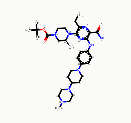 CCc1nc(C(N)=O)c(Nc2ccc(N3CCC(N4CCN(C)CC4)CC3)cc2)nc1N1CCN(C(=O)OC(C)(C)C)C[C@@H]1C